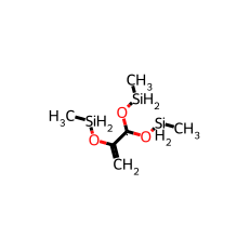 C=C(O[SiH2]C)[C](O[SiH2]C)O[SiH2]C